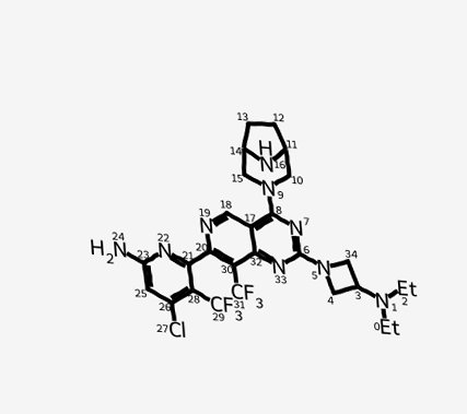 CCN(CC)C1CN(c2nc(N3CC4CCC(C3)N4)c3cnc(-c4nc(N)cc(Cl)c4C(F)(F)F)c(C(F)(F)F)c3n2)C1